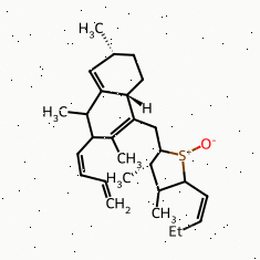 C=C/C=C\C1C(C)=C(CC2[C@@H](C)C(C)C(/C=C\CC)[S+]2[O-])[C@H]2CC[C@@H](C)C=C2C1C